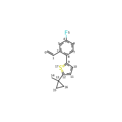 C=Cc1cc(F)ccc1-c1ccc(C2(C)CC2)s1